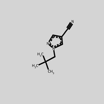 CC(C)(C)Cn1cc(C#N)cn1